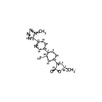 [CH2][C@@H]1CN(c2ccc(-c3ccc(-c4nnnn4C)nc3)c(F)c2)C(=O)O1